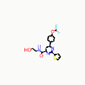 O=C(NCCO)c1cc(-c2ccc(OC(F)F)cc2)nc(-c2cccs2)n1